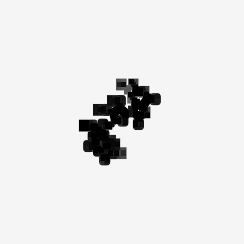 NC1=NC(=O)C2=NC(=O)N([C@@H]3O[C@H](COP(=O)(O)OP(=O)(O)OP(=O)(O)O)[C@@H](O)[C@H]3O)C2=N1